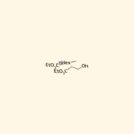 CCCCCCC.CCOC(=O)CCO.CCOC(C)=O